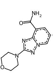 NC(=O)c1c[c]cn2nc(N3CCOCC3)nc12